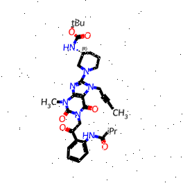 CC#CCn1c(N2CCC[C@@H](NC(=O)OC(C)(C)C)C2)nc2c1c(=O)n(CC(=O)c1ccccc1NC(=O)C(C)C)c(=O)n2C